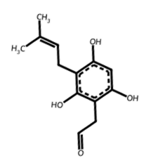 CC(C)=CCc1c(O)cc(O)c(CC=O)c1O